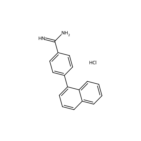 Cl.N=C(N)c1ccc(-c2cccc3ccccc23)cc1